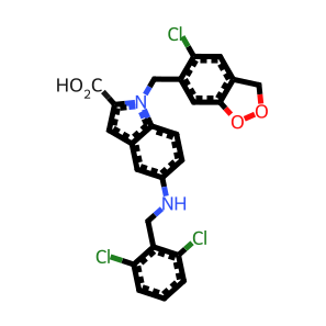 O=C(O)c1cc2cc(NCc3c(Cl)cccc3Cl)ccc2n1Cc1cc2c(cc1Cl)COO2